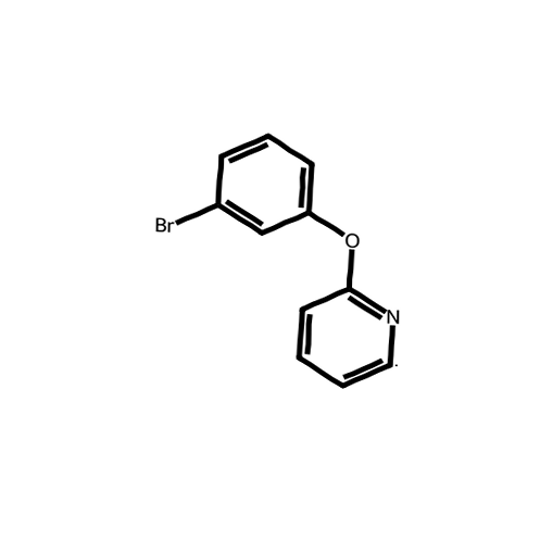 Brc1cccc(Oc2ccc[c]n2)c1